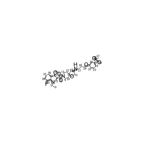 CCn1cc(S(=O)(=O)N2CCC3(CC2)C[C@@H](NCCCOc2cccc(S(C)(=O)=O)c2)CO3)c(=O)c2cccc(F)c21